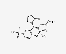 CCONCC1=C(N2CCCC2=O)c2cc(C(F)(F)C(F)(F)F)ccc2OC1(C)C